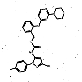 C=C(/N=C(\C=C/N)Oc1ccccc1CNC(=O)Nc1cc(C(C)(C)C)nn1-c1ccc(C)nc1)N1CCOCC1